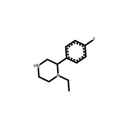 C[CH]N1CCNCC1c1ccc(F)cc1